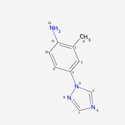 Cc1cc(-n2cncn2)ccc1N